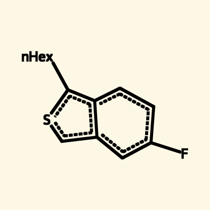 [CH2]CCCCCc1scc2cc(F)ccc12